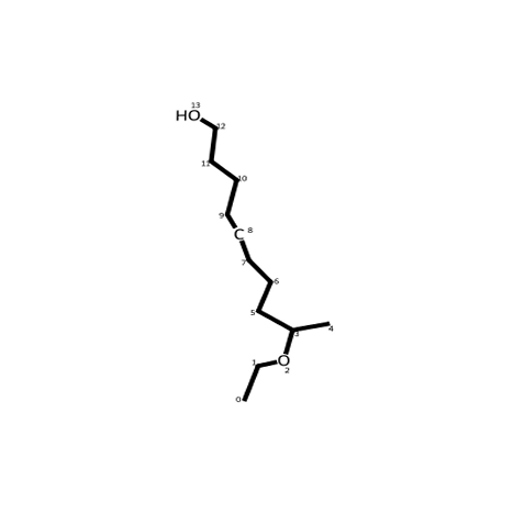 CCOC(C)CCCCCCCCO